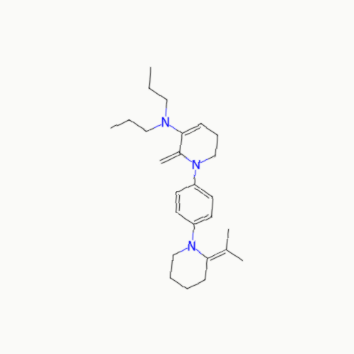 C=C1C(N(CCC)CCC)=CCCN1c1ccc(N2CCCCC2=C(C)C)cc1